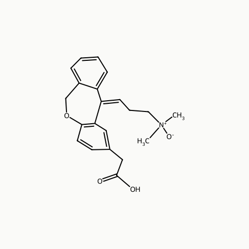 C[N+](C)([O-])CCC=C1c2ccccc2COc2ccc(CC(=O)O)cc21